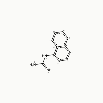 N=C(N)Nc1ncnc2ccccc12